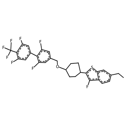 CCc1ccc2c(F)c(C3CCC(OCc4cc(F)c(-c5cc(F)c(C(F)(F)F)c(F)c5)c(F)c4)CC3)sc2c1